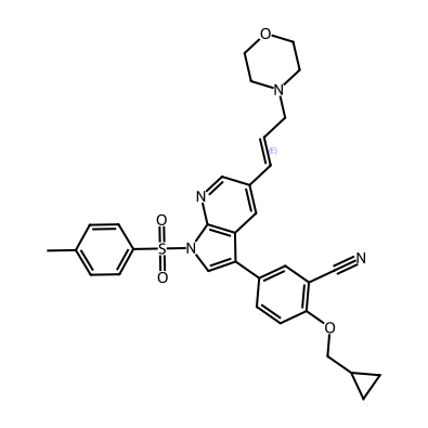 Cc1ccc(S(=O)(=O)n2cc(-c3ccc(OCC4CC4)c(C#N)c3)c3cc(/C=C/CN4CCOCC4)cnc32)cc1